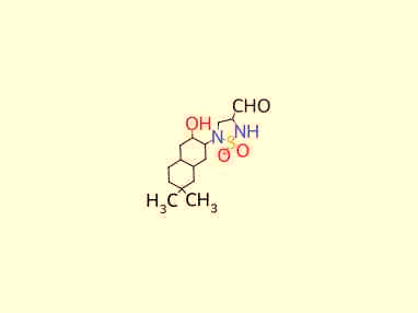 CC1(C)CCC2CC(O)C(N3CC(C=O)NS3(=O)=O)CC2C1